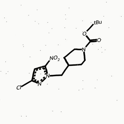 CC(C)(C)OC(=O)N1CCC(Cn2nc(Cl)cc2[N+](=O)[O-])CC1